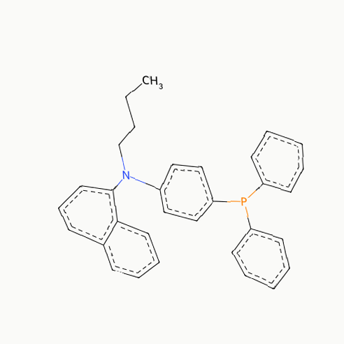 CCCCN(c1ccc(P(c2ccccc2)c2ccccc2)cc1)c1cccc2ccccc12